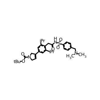 CC(C)c1cc(C2=CCN(C(=O)OC(C)(C)C)C2)cc(C(C)C)c1CC(=O)NS(=O)(=O)c1ccc(CN(C)C)cc1